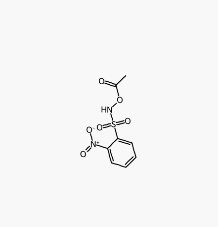 CC(=O)ONS(=O)(=O)c1ccccc1[N+](=O)[O-]